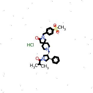 CC(C)C(=O)N1C[C@H](CN2CCC3(CC2)CC(=O)N(Cc2ccc(S(C)(=O)=O)cc2)C3)[C@@H](c2ccccc2)C1.Cl